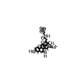 C[C@H](CCC(=O)NCCS(=O)(=O)[O-])[C@H]1CCC2C3C(C[C@H](O)[C@@]21C)[C@@]1(C)CC[C@@H](O)CC1C[C@H]3O.O.[Na+]